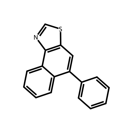 c1ccc(-c2cc3scnc3c3ccccc23)cc1